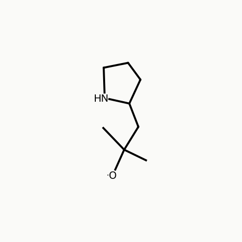 CC(C)([O])CC1CCCN1